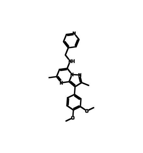 COc1ccc(-c2c(C)nn3c(NCc4ccncc4)cc(C)nc23)cc1OC